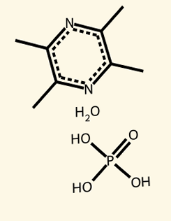 Cc1nc(C)c(C)nc1C.O.O=P(O)(O)O